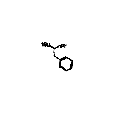 [CH2]C(C)(C)C(CCC)Cc1ccccc1